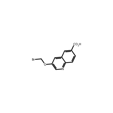 O=C(O)c1ccc2ncc(OCBr)cc2c1